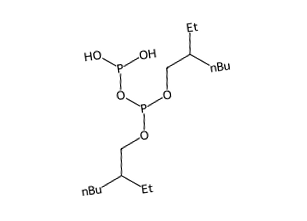 CCCCC(CC)COP(OCC(CC)CCCC)OP(O)O